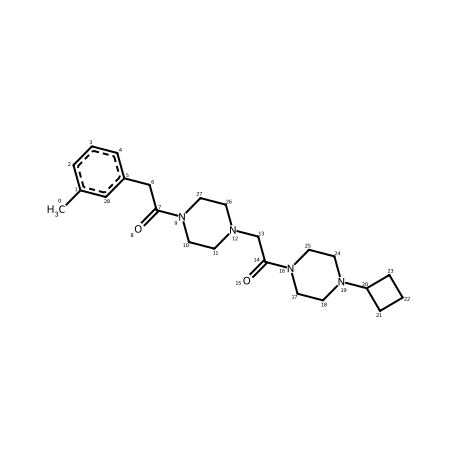 Cc1cccc(CC(=O)N2CCN(CC(=O)N3CCN(C4CCC4)CC3)CC2)c1